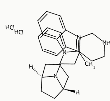 Cc1nc2ccccc2n1C1C[C@@H]2CC[C@@H](C1)N2CCC1(c2ccccc2)CCNCC1.Cl.Cl